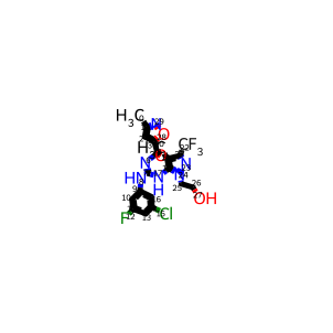 Cc1cc(C(=O)/N=C(/Nc2cc(F)cc(Cl)c2)Nc2c(C)c(C(F)(F)F)nn2CCO)on1